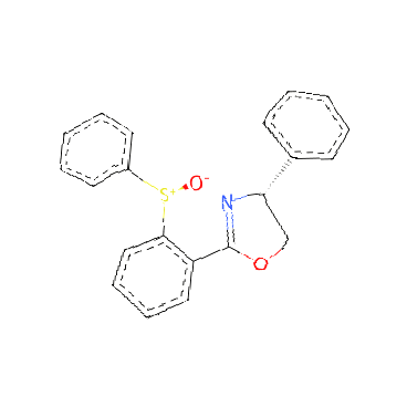 [O-][S@+](c1ccccc1)c1ccccc1C1=N[C@H](c2ccccc2)CO1